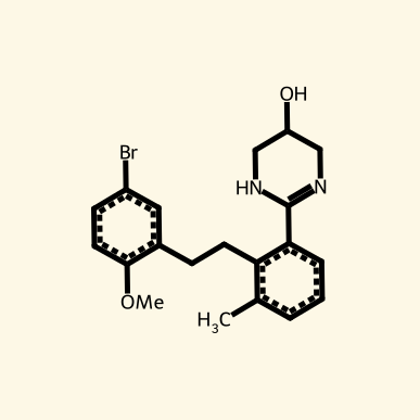 COc1ccc(Br)cc1CCc1c(C)cccc1C1=NCC(O)CN1